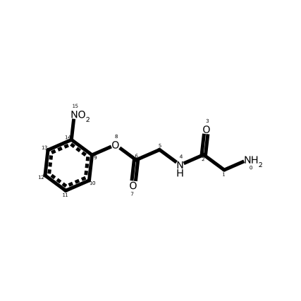 NCC(=O)NCC(=O)Oc1ccccc1[N+](=O)[O-]